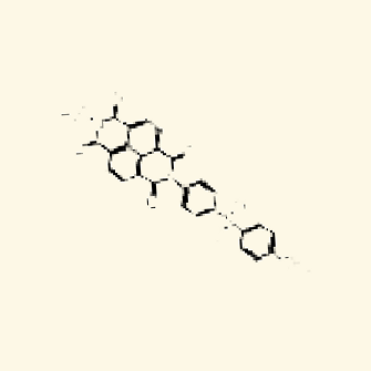 Cc1ccc(S(=O)(=O)c2ccc(N3C(=O)c4ccc5c6c(ccc(c46)C3=O)C(=O)N(C)C5=O)cc2)cc1